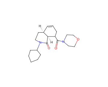 O=C(C1CC=C[C@@H]2CCN(C3CCCCC3)C(=O)[C@H]12)N1CCOCC1